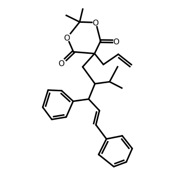 C=CCC1(CC(C(C)C)C(C=Cc2ccccc2)c2ccccc2)C(=O)OC(C)(C)OC1=O